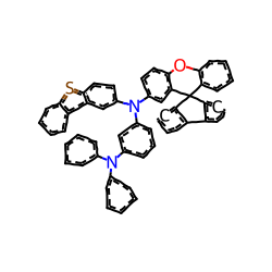 c1ccc(N(c2ccccc2)c2cccc(N(c3ccc4c(c3)C3(c5ccccc5O4)c4ccccc4-c4ccccc43)c3ccc4sc5ccccc5c4c3)c2)cc1